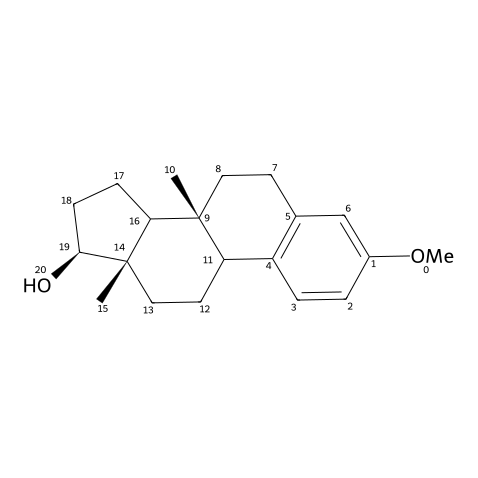 COc1ccc2c(c1)CC[C@]1(C)C2CC[C@@]2(C)C1CC[C@@H]2O